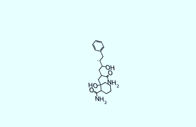 NC(=O)C(CC(O)[CH]Cc1ccccc1)CC1(O)CCCCC1C(N)=O